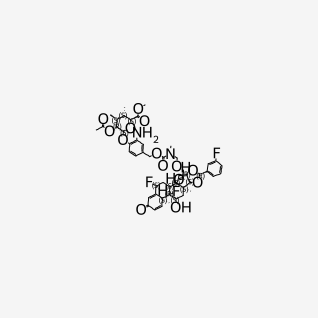 COC(=O)[C@H]1O[C@@H](Oc2ccc(COC(=O)N(C)COCC(=O)[C@@]34O[C@H](c5cccc(F)c5)O[C@@H]3C[C@H]3[C@@H]5C[C@H](F)C6=CC(=O)C=C[C@]6(C)[C@@]5(F)[C@@H](O)C[C@@]34C)cc2N)[C@H](OC(C)=O)[C@@H](C)[C@@H]1C